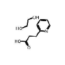 O=C(O)CCc1ccccn1.OCCO